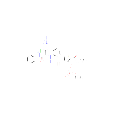 COC(=O)c1sc(-c2cccc(NC(C(=O)N(Cl)c3ccccc3)C3CCNCC3)c2)c(Br)c1OCC(=O)OC(C)(C)C